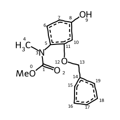 COC(=O)N(C)c1ccc(O)cc1OCc1ccccc1